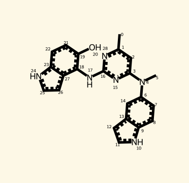 Cc1cc(N(C)c2ccc3[nH]ccc3c2)nc(Nc2c(O)ccc3[nH]ccc23)n1